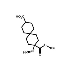 CC(C)(C)OC(=O)C1(N=N)CCC2(CCC(C(=O)O)CC2)CC1